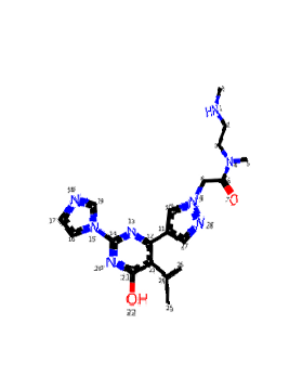 CNCCN(C)C(=O)Cn1cc(-c2nc(-n3ccnc3)nc(O)c2C(C)C)cn1